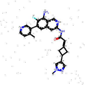 Cc1ccncc1-c1cc2cc(NC(=O)C=C3CC(c4cnn(C)c4)C3)ncc2c(N)c1F